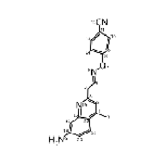 Cc1cc(CC=NOc2ccc(C#N)cc2)nc2cc(N)ccc12